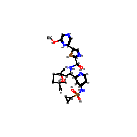 CCOc1cncc(-c2cnc(C(=O)N[C@@H](c3cc(NS(=O)(=O)C4CC4)ccn3)[C@@H]3C[C@@H]4CC[C@H]3O4)s2)n1